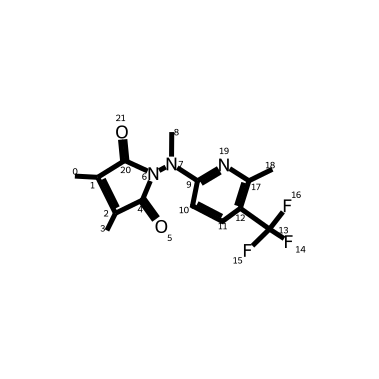 CC1=C(C)C(=O)N(N(C)c2ccc(C(F)(F)F)c(C)n2)C1=O